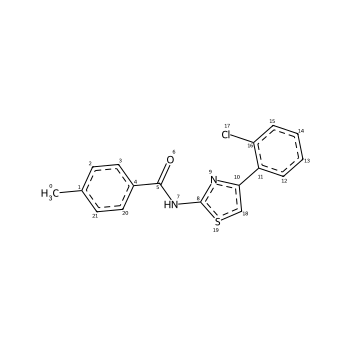 Cc1ccc(C(=O)Nc2nc(-c3ccccc3Cl)cs2)cc1